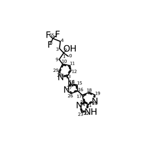 CC(O)(CCC(F)(F)F)Cc1ccc(-n2cc(-c3ccnc4[nH]cnc34)cn2)nc1